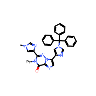 CC(C)n1c(-c2cn(C)cn2)nn2c(-c3cn(C(c4ccccc4)(c4ccccc4)c4ccccc4)cn3)cnc2c1=O